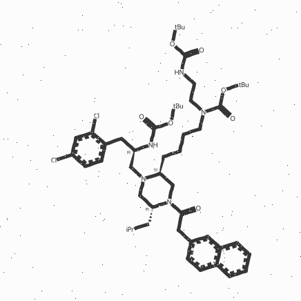 CC(C)C[C@@H]1CN(C[C@@H](Cc2ccc(Cl)cc2Cl)NC(=O)OC(C)(C)C)[C@@H](CCCCN(CCNC(=O)OC(C)(C)C)C(=O)OC(C)(C)C)CN1C(=O)Cc1ccc2ccccc2c1